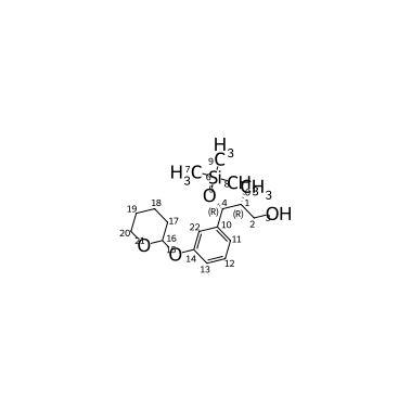 C[C@H](CO)[C@@H](O[Si](C)(C)C)c1cccc(OC2CCCCO2)c1